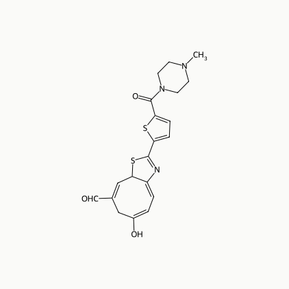 CN1CCN(C(=O)c2ccc(C3=N/C4=C/C=C(/O)CC(C=O)=CC4S3)s2)CC1